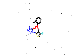 Cc1ccccc1OCc1c(F)csc1-n1nnn(C)c1=O